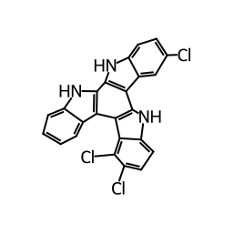 Clc1ccc2[nH]c3c4[nH]c5ccccc5c4c4c([nH]c5ccc(Cl)c(Cl)c54)c3c2c1